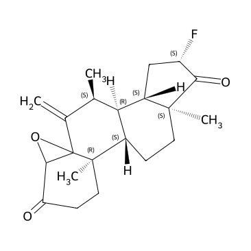 C=C1[C@@H](C)[C@H]2[C@@H]3C[C@H](F)C(=O)[C@@]3(C)CC[C@@H]2[C@@]2(C)CCC(=O)C3OC132